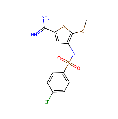 CSc1sc(C(=N)N)cc1NS(=O)(=O)c1ccc(Cl)cc1